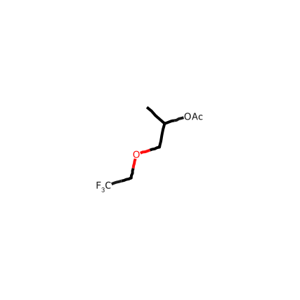 CC(=O)OC(C)COCC(F)(F)F